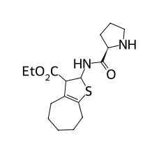 CCOC(=O)C1C2=C(CCCCC2)SC1NC(=O)[C@H]1CCCN1